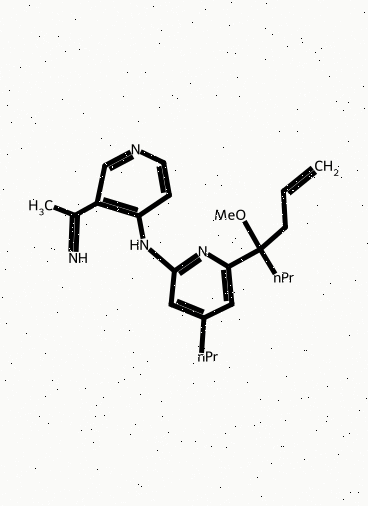 C=CCC(CCC)(OC)c1cc(CCC)cc(Nc2ccncc2C(C)=N)n1